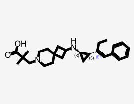 CC/C(=C\c1ccccc1)[C@@H]1C[C@H]1NC1CC2(CCN(CC(C)(C)C(=O)O)CC2)C1